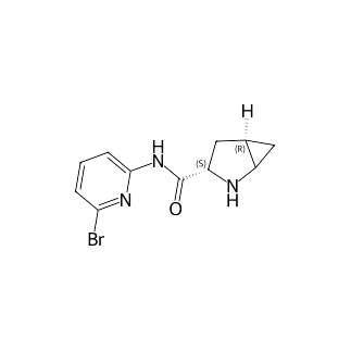 O=C(Nc1cccc(Br)n1)[C@@H]1C[C@H]2CC2N1